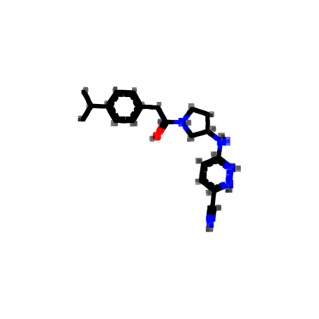 CC(C)c1ccc(CC(=O)N2CCC(Nc3ccc(C#N)nn3)C2)cc1